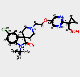 [2H]C([2H])([2H])N1C(=O)C2(CCN(CCOc3cnc(C4(CO)CC4)nc3)CC2)c2cc(Cl)ccc21